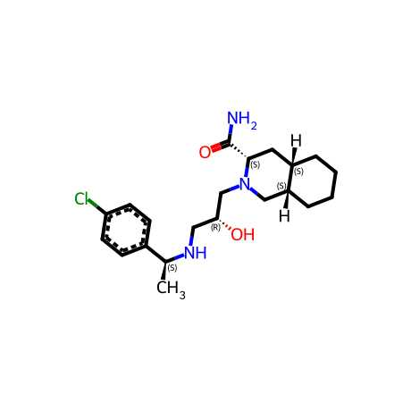 C[C@H](NC[C@@H](O)CN1C[C@H]2CCCC[C@H]2C[C@H]1C(N)=O)c1ccc(Cl)cc1